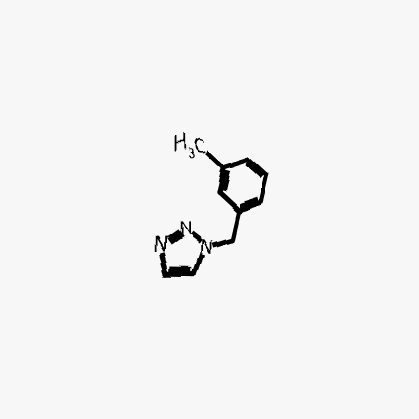 Cc1cccc(Cn2ccnn2)c1